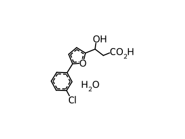 O.O=C(O)CC(O)c1ccc(-c2cccc(Cl)c2)o1